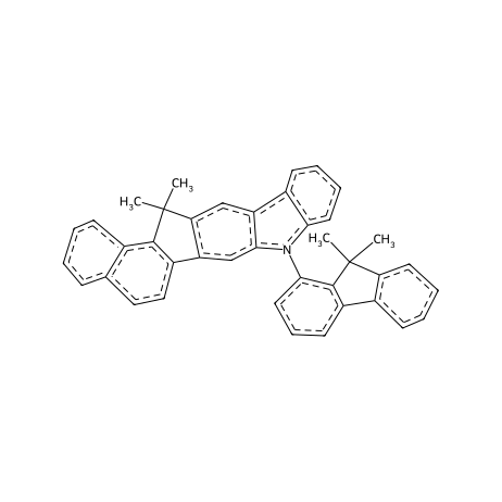 CC1(C)c2ccccc2-c2cccc(-n3c4ccccc4c4cc5c(cc43)-c3ccc4ccccc4c3C5(C)C)c21